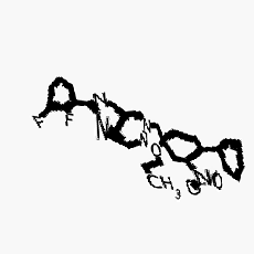 CCCOC1(Cn2cc3nc(-c4cccc(F)c4F)nc-3cn2)C=CC(c2ccccc2)=C([N+](=O)[O-])C1